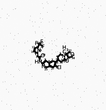 CC1(N2CCC(c3cc4cc(NC(=O)Cn5ccc(C(F)(F)F)n5)ncc4cc3Cl)CC2)COCC1O